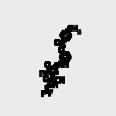 CCn1c(=C(C#N)C(=O)NCC(F)F)sc(=CNc2cccc(OCC(=O)N3CCN(C)CC3)c2)c1=O